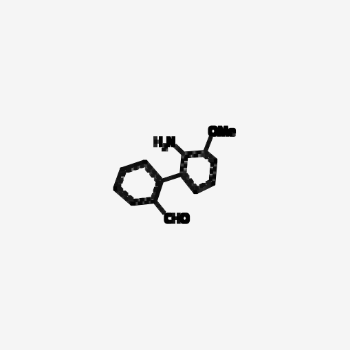 COc1cccc(-c2ccccc2C=O)c1N